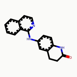 O=C1CCc2cc(Nc3nccc4ccccc34)ccc2N1